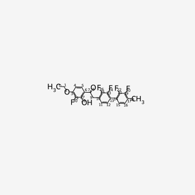 CCOc1ccc(C(=O)Cc2ccc(-c3ccc(C)c(F)c3F)c(F)c2F)c(O)c1F